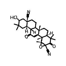 CC1(C)C[C@H]2[C@H]3C(=O)C=C4[C@@](C)(CC[C@H]5C(C)(C)C(=O)C6(C#N)O[C@]6(C)[C@]45C)C3CC[C@@]2(C#N)CC1O